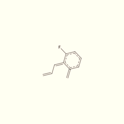 C=C/C=c1/c(F)cccc1=C